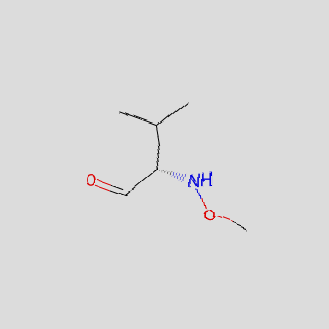 CON[C@H](C=O)C(C)C